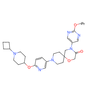 CC(C)Oc1ncc(N2CC3(CCN(c4ccc(OC5CCN(C6CCC6)CC5)nc4)CC3)OCC2=O)cn1